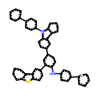 c1ccc(-c2ccc(Nc3ccc(-c4ccc5c(c4)c4ccccc4n5-c4ccc(-c5ccccc5)cc4)cc3-c3ccc4sc5ccccc5c4c3)cc2)cc1